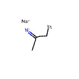 CCCC(C)=[N-].[Na+]